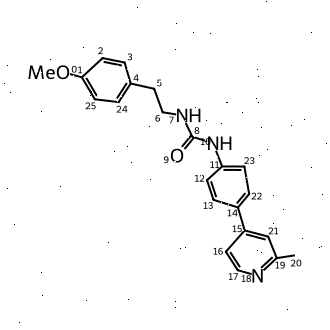 COc1ccc(CCNC(=O)Nc2ccc(-c3ccnc(C)c3)cc2)cc1